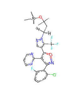 [2H]C([2H])(CC(C)(C)O[Si](C)(C)C)n1ncc(-c2onc(-c3c(F)cccc3Cl)c2-c2ncccn2)c1C(F)(F)F